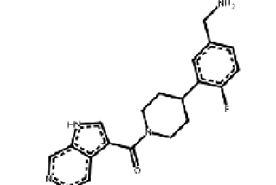 NCc1ccc(F)c(C2CCN(C(=O)c3c[nH]c4cnccc34)CC2)c1